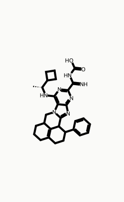 C[C@@H](Nc1nc(C(=N)NC(=O)O)nc2nc3n(c12)CC1CCCC2=C1C3C(c1ccccc1)CC2)C1CCC1